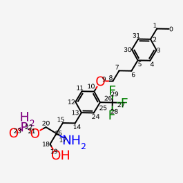 CCc1ccc(CCCOc2ccc(CCC(N)(CO)CO[PH2]=O)cc2C(F)(F)F)cc1